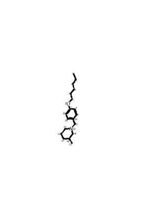 CCCCCCOc1ccc(CN2CCCC(C)C2)cc1